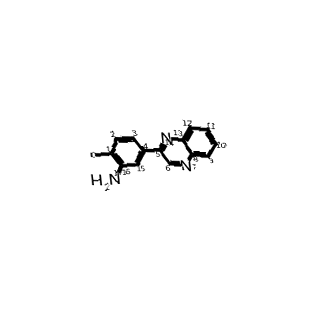 Cc1ccc(-c2cnc3ccccc3n2)cc1N